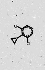 Clc1c[c]cc(Cl)c1C1CC1